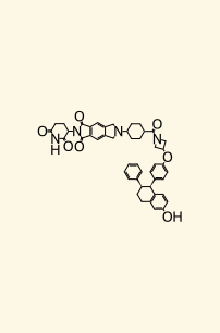 O=C1CCC(N2C(=O)c3cc4c(cc3C2=O)CN(C2CCC(C(=O)N3CC(Oc5ccc([C@H]6c7ccc(O)cc7CC[C@H]6c6ccccc6)cc5)C3)CC2)C4)C(=O)N1